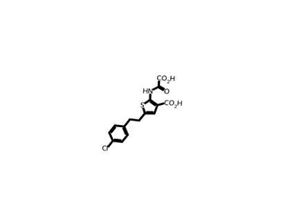 O=C(O)C(=O)Nc1sc(CCc2ccc(Cl)cc2)cc1C(=O)O